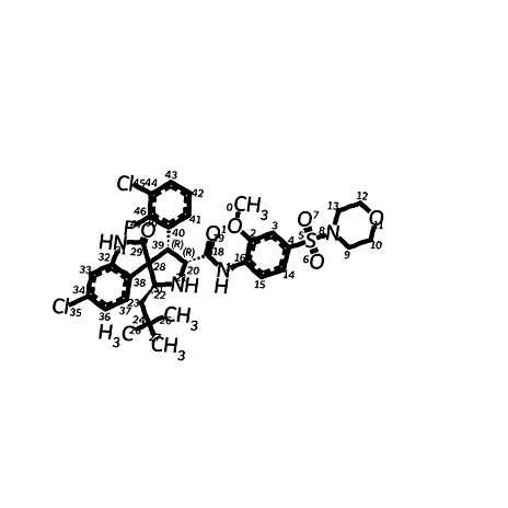 COc1cc(S(=O)(=O)N2CCOCC2)ccc1NC(=O)[C@@H]1N[C@@H](CC(C)(C)C)C2(C(=O)Nc3cc(Cl)ccc32)[C@@H]1c1cccc(Cl)c1F